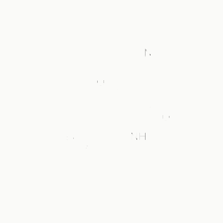 O=C1CCCC2=C1C(c1ccccc1)C1=C(N2)C(=O)c2ccncc2C1=O